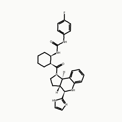 O=C(Nc1ccc(F)cc1)N[C@@H]1CCCC[C@@H]1C(=O)N1CC[C@H]2[C@H](c3ncc[nH]3)Nc3ccccc3[C@@H]21